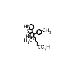 Cc1ccc(-c2c(CCCCC(=O)O)c(C)nc3sc4c(c23)CCCN4)cc1.N